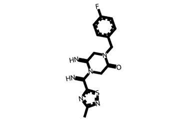 Cc1nsc(C(=N)N2CC(=O)N(Cc3ccc(F)cc3)CC2=N)n1